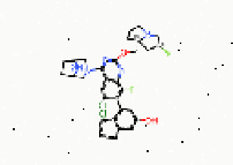 Oc1cc(-c2c(Cl)cc3c(N4CC5CCC(C4)N5)nc(OC[C@]45CCCN4C[C@@H](F)C5)nc3c2F)c2c(Cl)cccc2c1